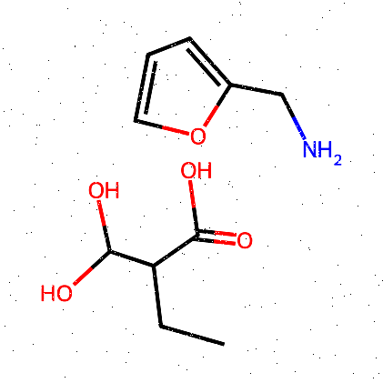 CCC(C(=O)O)C(O)O.NCc1ccco1